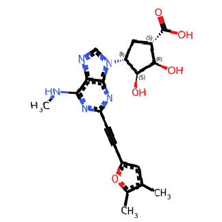 CNc1nc(C#Cc2cc(C)c(C)o2)nc2c1ncn2[C@@H]1C[C@H](C(=O)O)[C@@H](O)[C@H]1O